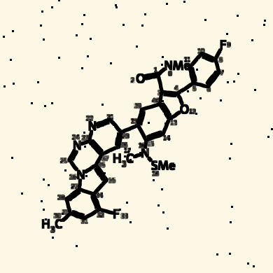 CNC(=O)c1c(-c2ccc(F)cc2)oc2cc(N(C)SC)c(-c3cnc4ncn5c6cc(C)cc(F)c6cc5c4c3)cc12